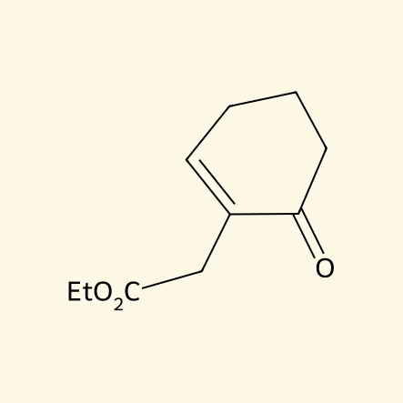 CCOC(=O)CC1=CCCCC1=O